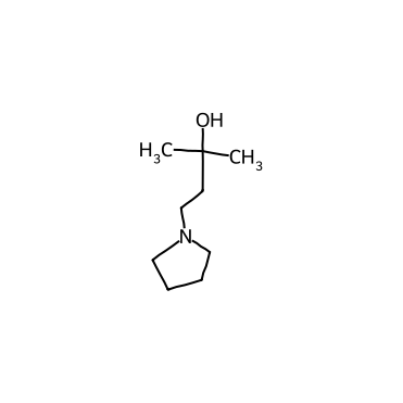 CC(C)(O)CCN1CCCC1